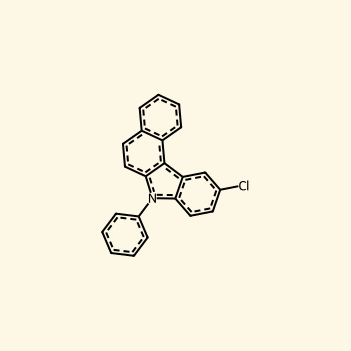 Clc1ccc2c(c1)c1c3ccccc3ccc1n2-c1ccccc1